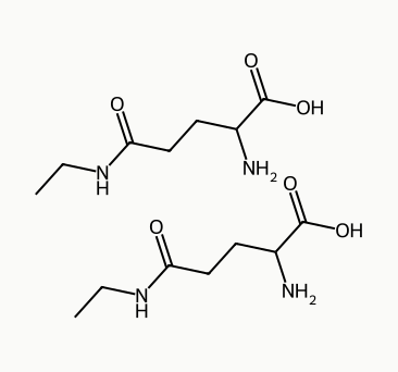 CCNC(=O)CCC(N)C(=O)O.CCNC(=O)CCC(N)C(=O)O